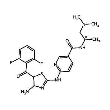 C[C@H](CN(C)C)NC(=O)c1ccc(NC2=NC(N)C(C(=O)c3c(F)cccc3F)S2)nc1